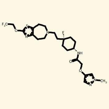 Cn1cc(OCC(=O)N[C@H]2CC[C@](F)(CCN3CCc4nc(OCC(F)(F)F)sc4CC3)CC2)cn1